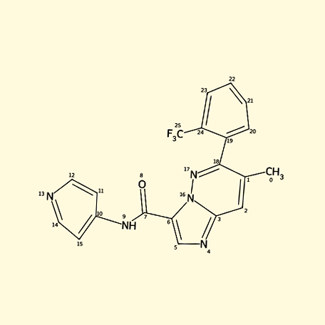 Cc1cc2ncc(C(=O)Nc3ccncc3)n2nc1-c1ccccc1C(F)(F)F